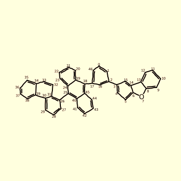 c1cc(-c2ccc3oc4ccccc4c3c2)cc(-c2c3ccccc3c(-c3cccc4c3ccc3ccccc34)c3ccccc23)c1